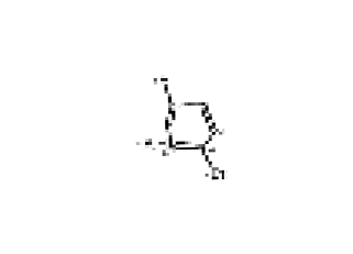 CCc1ccc(CC)cc1.[AlH3]